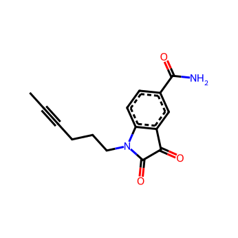 CC#CCCCN1C(=O)C(=O)c2cc(C(N)=O)ccc21